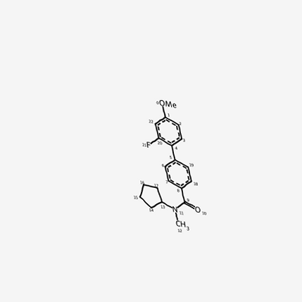 COc1ccc(-c2ccc(C(=O)N(C)C3CCCC3)cc2)c(F)c1